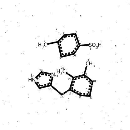 Cc1ccc(S(=O)(=O)O)cc1.Cc1cccc(Cc2c[nH]cn2)c1C